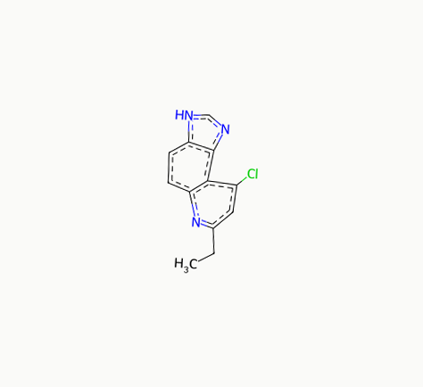 CCc1cc(Cl)c2c(ccc3[nH]cnc32)n1